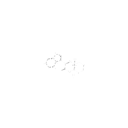 O=C1N[C@@H]2CCCC[C@H]2N=C1c1c[nH]c2ccccc12